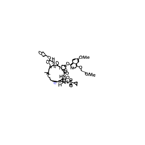 COCCOc1cnc(O[C@@H]2C[C@H]3C(=O)N[C@]4(C(=O)NS(=O)(=O)C5CC5)C[C@H]4/C=C\CC[C@@H](C)C[C@@H](C)[C@H](NC(=O)OC4COC4)C(=O)N3C2)c2ccc(OC)cc12